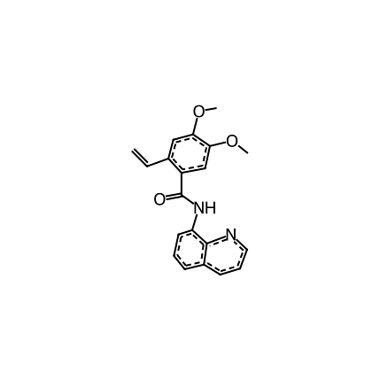 C=Cc1cc(OC)c(OC)cc1C(=O)Nc1cccc2cccnc12